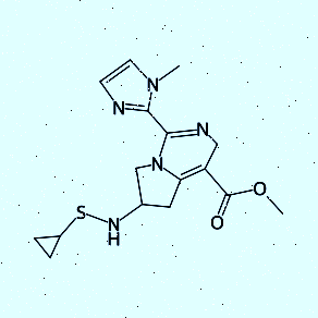 COC(=O)C1=C2CC(NSC3CC3)CN2C(c2nccn2C)=NC1